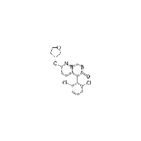 O=c1ncn2nc(OC3CCOC3)ccc2c1-c1c(Cl)cccc1Cl